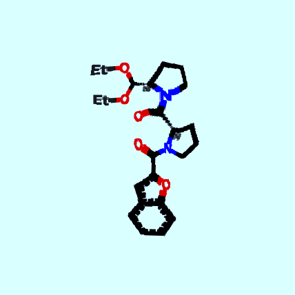 CCOC(OCC)[C@@H]1CCCN1C(=O)[C@@H]1CCCN1C(=O)c1cc2ccccc2o1